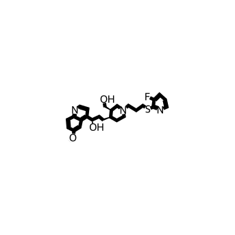 COc1ccc2nccc([C@@H](O)CC[C@@H]3CCN(CCCSc4ncccc4F)C[C@@H]3CO)c2c1